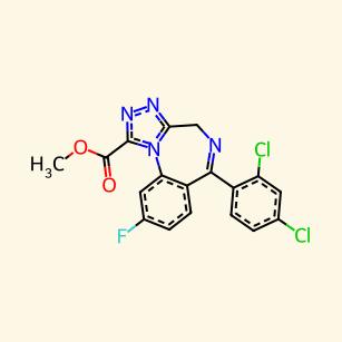 COC(=O)c1nnc2n1-c1cc(F)ccc1C(c1ccc(Cl)cc1Cl)=NC2